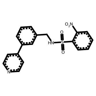 O=[N+]([O-])c1ccccc1S(=O)(=O)NCc1cccc(-c2ccncc2)c1